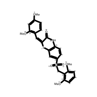 COc1ccc(C=C2Sc3cc(S(=O)(=O)Cc4c(OC)cccc4OC)ccc3NC2=O)c(OC)c1